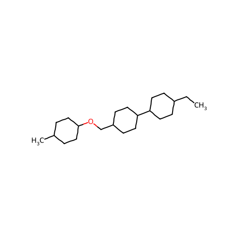 CCC1CCC(C2CCC(COC3CCC(C)CC3)CC2)CC1